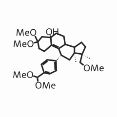 COC[C@]1(C)CCC2C3CC[C@@]4(O)CC(OC)(OC)CCC4=C3[C@@H](c3ccc(C(OC)OC)cc3)C[C@@]21C